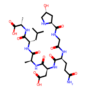 CC(C)C[C@H](NC(=O)[C@H](C)NC(=O)[C@H](CC(=O)O)NC(=O)[C@H](CCC(N)=O)NC(=O)CNC(=O)[C@@H]1C[C@@H](O)CN1)C(=O)N[C@@H](C)C(=O)O